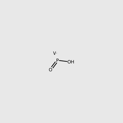 O=PO.[V]